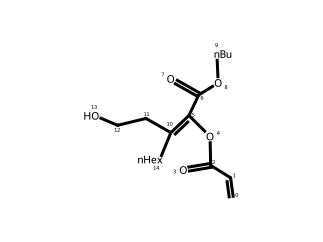 C=CC(=O)OC(C(=O)OCCCC)=C(CCO)CCCCCC